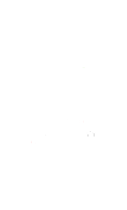 CCCOC1(c2ccc(F)cc2)CCC(=O)CC1